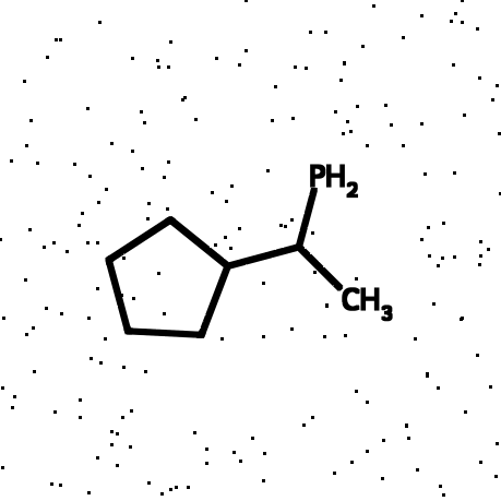 CC(P)C1CCCC1